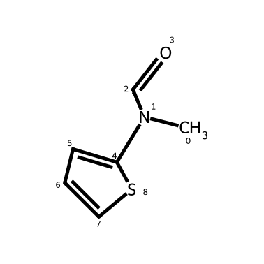 CN([C]=O)c1cccs1